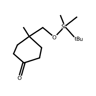 CC1(CO[Si](C)(C)C(C)(C)C)CCC(=O)CC1